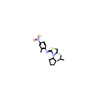 Cc1cc([N+](=O)[O-])ccc1N=C1SC[C@H](CC(C)C)N1C1CCCC1